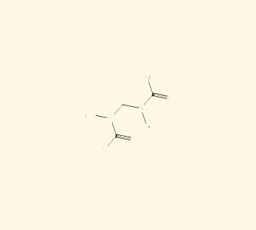 CCCCN(CN(CCCC)C(N)=O)C(N)=O